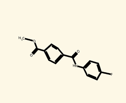 COC(=O)c1ccc(C(=O)Nc2ccc(F)cc2)cc1